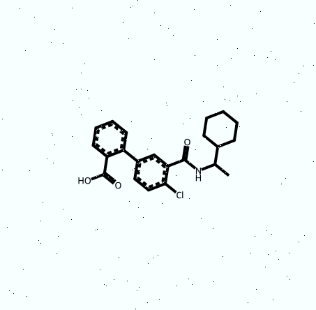 CC(NC(=O)c1cc(-c2ccccc2C(=O)O)ccc1Cl)C1CCCCC1